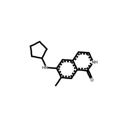 Cc1cc2c(=O)[nH]ccc2cc1NC1CCCC1